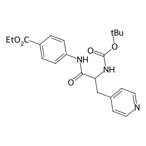 CCOC(=O)c1ccc(NC(=O)C(Cc2ccncc2)NC(=O)OC(C)(C)C)cc1